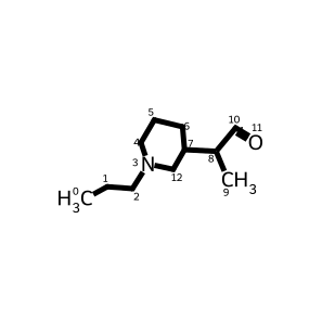 CCCN1CCCC(C(C)[C]=O)C1